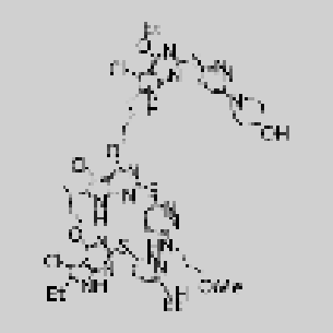 CCNc1ccc(Sc2nc(OCCC(C)c3[nH]c4nc(Sc5ccc(NCCCOC)nn5)nc(OCCCCc5[nH]c6nc(Sc7ccc(N8CCC(O)CC8)nn7)nc(OCC)c6c5Cl)c4c3Cl)c3c(Cl)c(CC)[nH]c3n2)nn1